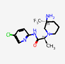 C[C@@H](C(=O)Nc1ccc(Cl)cn1)N1CCC[C@@](N)(C(F)(F)F)C1